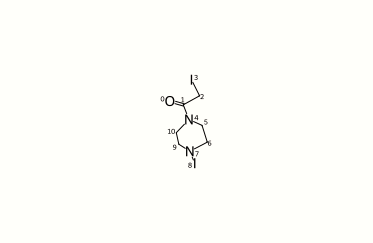 O=C(CI)N1CCN(I)CC1